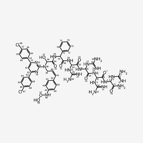 N=C(N)NC(NC(=O)C(NC(=N)N)NC(=O)C(NC(=N)N)NC(=O)C(NC(=N)N)NC(=O)C(NC(=O)C(O)N(C/C=C\c1ccc(NOO)cc1)c1nc(-c2ccc(Cl)cc2)cc(-c2ccc(Cl)cc2)n1)c1ccccc1)C(N)=O